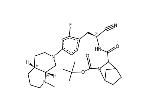 CN1CCC[C@@H]2CCN(c3ccc(C[C@@H](C#N)NC(=O)C4C5CCC(C5)N4C(=O)OC(C)(C)C)c(F)c3)C[C@@H]21